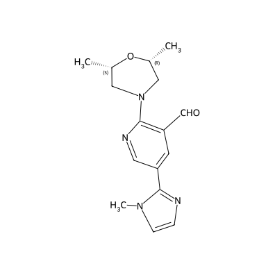 C[C@@H]1CN(c2ncc(-c3nccn3C)cc2C=O)C[C@H](C)O1